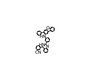 N#Cc1cccc(C2NC(c3cccc(Nc4cc5c(cc4-c4ccccc4)oc4ccccc45)c3)=Nc3ccccc32)c1